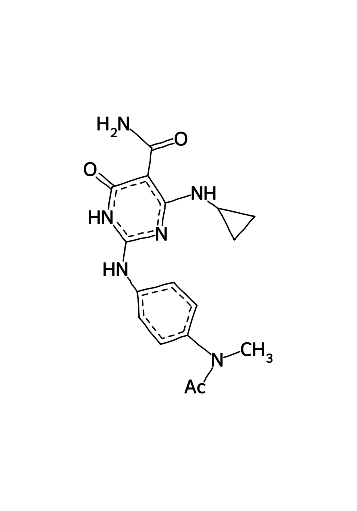 CC(=O)N(C)c1ccc(Nc2nc(NC3CC3)c(C(N)=O)c(=O)[nH]2)cc1